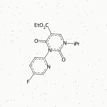 CCOC(=O)c1cn(C(C)C)c(=O)n(-c2ccc(F)cn2)c1=O